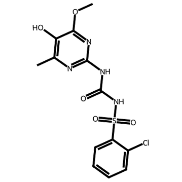 COc1nc(NC(=O)NS(=O)(=O)c2ccccc2Cl)nc(C)c1O